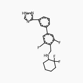 Fc1cc(-c2cccc(-c3nc[nH]n3)c2)cc(F)c1CNC1CCCCC1(F)F